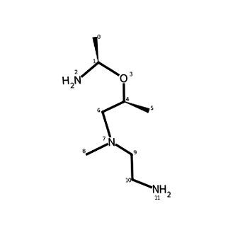 C[C@H](N)O[C@@H](C)CN(C)CCN